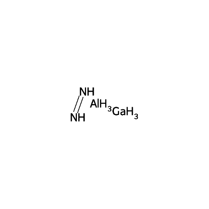 N=N.[AlH3].[GaH3]